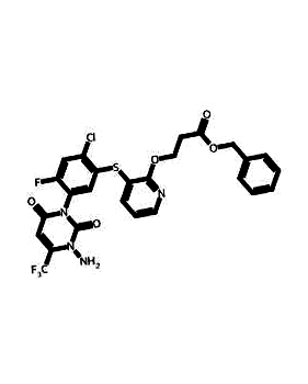 Nn1c(C(F)(F)F)cc(=O)n(-c2cc(Sc3cccnc3OCCC(=O)OCc3ccccc3)c(Cl)cc2F)c1=O